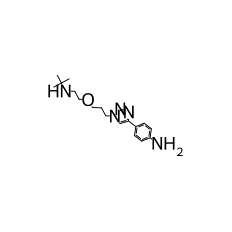 CC(C)(C)NCCOCCCn1cc(-c2ccc(N)cc2)nn1